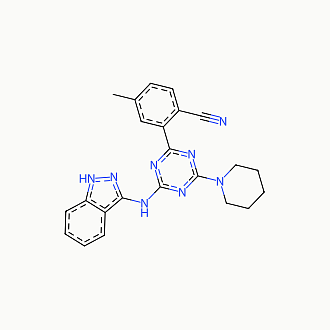 Cc1ccc(C#N)c(-c2nc(Nc3n[nH]c4ccccc34)nc(N3CCCCC3)n2)c1